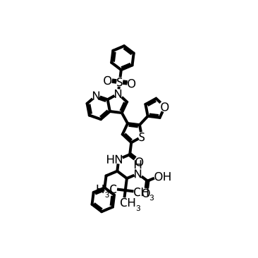 CC(C)(C)C(NC(=O)O)C(Cc1ccccc1)NC(=O)c1cc(-c2cn(S(=O)(=O)c3ccccc3)c3ncccc23)c(-c2ccoc2)s1